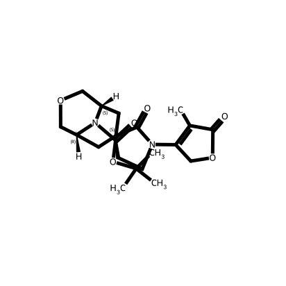 CC1=C(N2CC[C@@]3(C[C@H]4COC[C@@H](C3)N4C(=O)OC(C)(C)C)C2=O)COC1=O